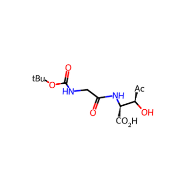 CC(=O)[C@@H](O)[C@H](NC(=O)CNC(=O)OC(C)(C)C)C(=O)O